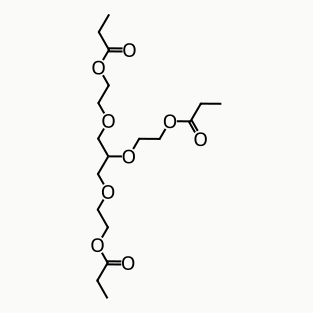 CCC(=O)OCCOCC(COCCOC(=O)CC)OCCOC(=O)CC